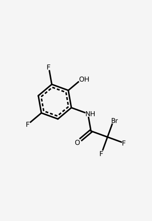 O=C(Nc1cc(F)cc(F)c1O)C(F)(F)Br